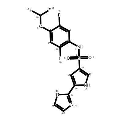 O=S(=O)(Nc1cc(F)c(OC(F)F)cc1F)c1c[nH]c(-c2ncco2)c1